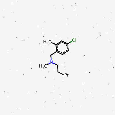 Cc1cc(Cl)ccc1CN(C)CCC(C)C